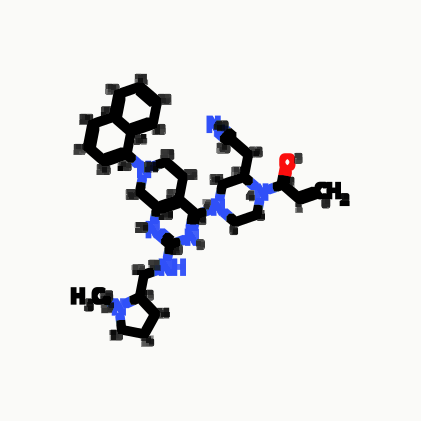 C=CC(=O)N1CCN(c2nc(NCC3CCCN3C)nc3c2CCN(c2cccc4ccccc24)C3)CC1CC#N